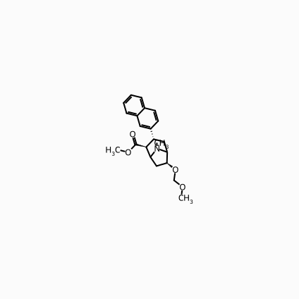 COCO[C@H]1CC2[C@@H](C(=O)OC)[C@H](c3ccc4ccccc4c3)CC1N2C